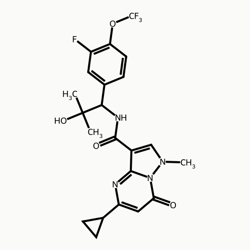 Cn1cc(C(=O)NC(c2ccc(OC(F)(F)F)c(F)c2)C(C)(C)O)c2nc(C3CC3)cc(=O)n21